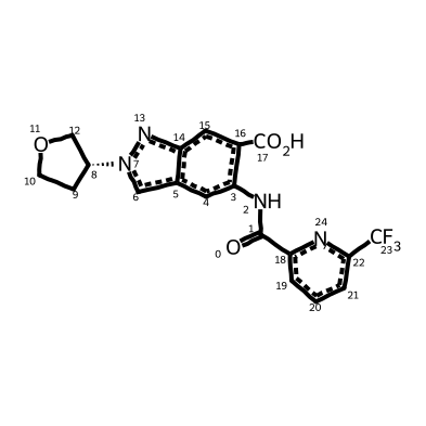 O=C(Nc1cc2cn([C@@H]3CCOC3)nc2cc1C(=O)O)c1cccc(C(F)(F)F)n1